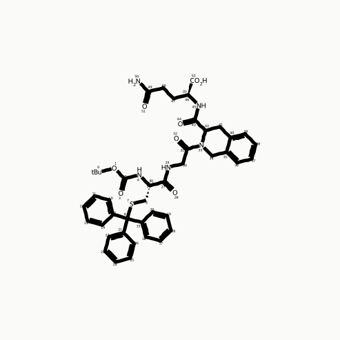 CC(C)(C)OC(=O)N[C@@H](CSC(c1ccccc1)(c1ccccc1)c1ccccc1)C(=O)NCC(=O)N1Cc2ccccc2CC1C(=O)N[C@@H](CCC(N)=O)C(=O)O